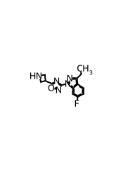 CCc1nn(-c2noc(C3CNC3)n2)c2cc(F)ccc12